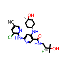 CC(C)(O)[C@H](F)CNC(=O)c1cnc(Nc2ncc(C#N)cc2Cl)cc1N[C@H]1CC[C@](C)(O)CC1